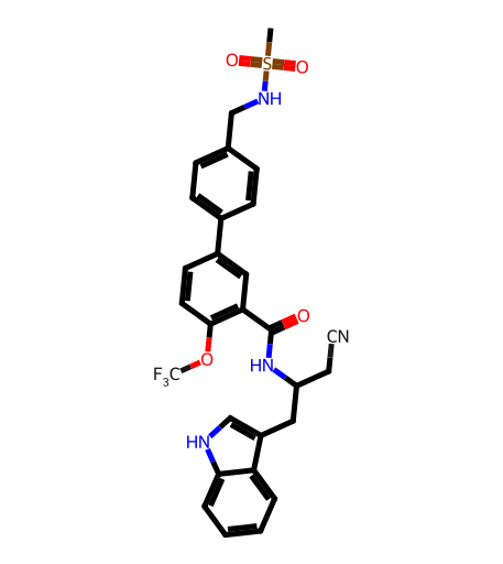 CS(=O)(=O)NCc1ccc(-c2ccc(OC(F)(F)F)c(C(=O)NC(CC#N)Cc3c[nH]c4ccccc34)c2)cc1